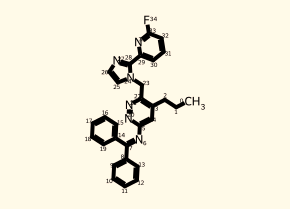 CCCc1cc(N=C(c2ccccc2)c2ccccc2)nnc1Cn1ccnc1-c1cccc(F)n1